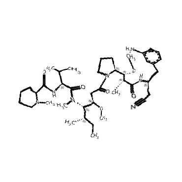 CC[C@H](C)[C@@H]([C@@H](CC(=O)N1CCC[C@H]1[C@H](OC)[C@@H](C)C(=O)N[C@H](CC#N)Cc1cccc(N)c1)OC)N(C)C(=O)[C@@H](NC(=O)C1CCCCN1C)C(C)C